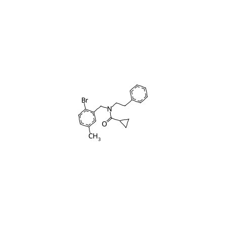 Cc1ccc(Br)c(CN(CCc2ccccc2)C(=O)C2CC2)c1